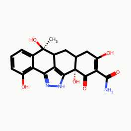 C[C@@]1(O)c2cccc(O)c2-c2n[nH]c3c2C1CC1CC(O)=C(C(N)=O)C(=O)[C@@]31O